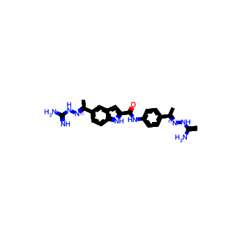 C=C(N)N/N=C(\C)c1ccc(NC(=O)c2cc3cc(/C(C)=N/NC(=N)N)ccc3[nH]2)cc1